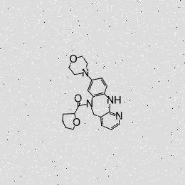 O=C(C1CCCCO1)N1Cc2cccnc2Nc2ccc(N3CCOCC3)cc21